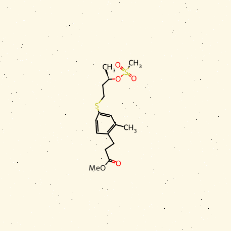 COC(=O)CCc1ccc(SCC[C@@H](C)OS(C)(=O)=O)cc1C